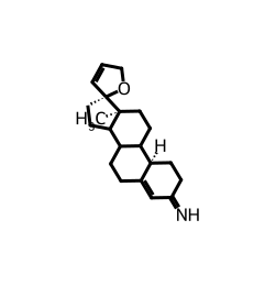 C[C@]12CCC3C(CCC4=CC(=N)CC[C@@H]43)C1CC[C@@]21C=CCO1